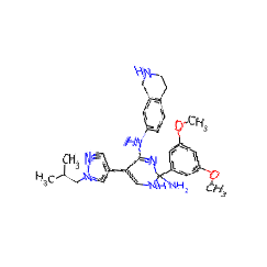 COc1cc(OC)cc(C2(N)N=C(Nc3ccc4c(c3)CNCC4)C(c3cnn(CC(C)C)c3)=CN2)c1